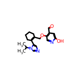 CC(C)n1cncc1C1=C(COc2cnc(O)cc2C=O)CCCC1